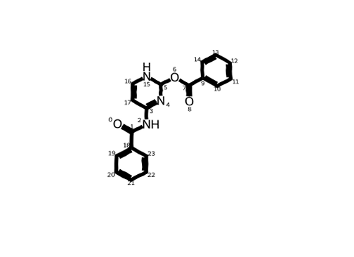 O=C(NC1=NC(OC(=O)c2ccccc2)NC=C1)c1ccccc1